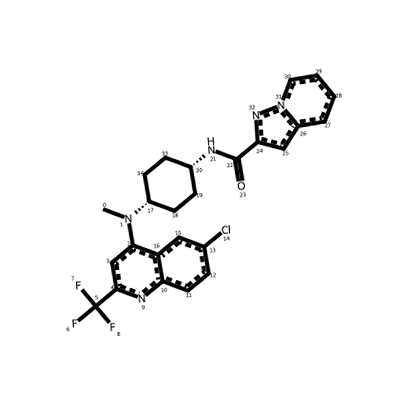 CN(c1cc(C(F)(F)F)nc2ccc(Cl)cc12)[C@H]1CC[C@@H](NC(=O)c2cc3ccccn3n2)CC1